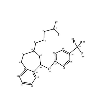 CN(C)CCCN1CCc2ccccc2C(Oc2ccc(C(F)(F)F)cc2)C1